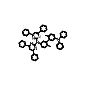 Cc1ccc(N(c2ccccc2)c2ccccc2)cc1-c1cc(N(c2nc(-c3ccccc3)cc(-c3ccccc3)n2)c2nc(-c3ccccc3)cc(-c3ccccc3)n2)ccc1C